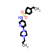 C=CCN1CCN(c2ccc(NS(=O)(=O)c3ccc(C=C)cc3)cn2)CC1